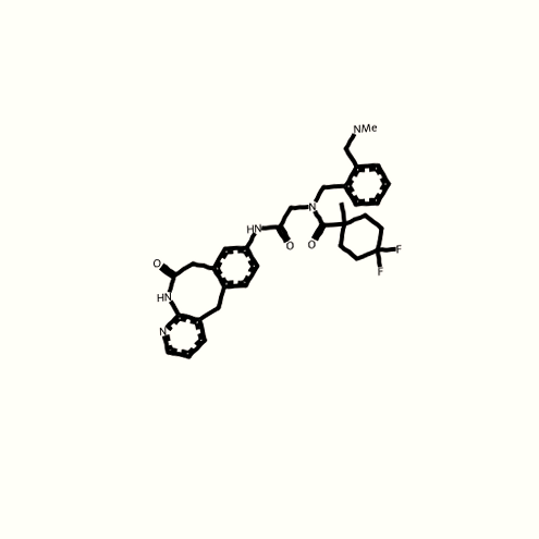 CNCc1ccccc1CN(CC(=O)Nc1ccc2c(c1)CC(=O)Nc1ncccc1C2)C(=O)C1(C)CCC(F)(F)CC1